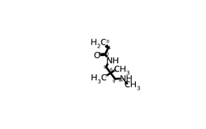 C=CC(=O)NCC(C)(C)CNC